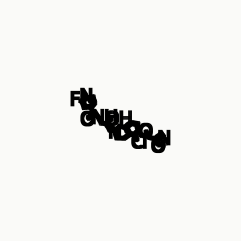 O=C(NCC(O)CN1CCc2c(ccc(OCc3cnco3)c2Cl)C1)c1ccnc(F)c1